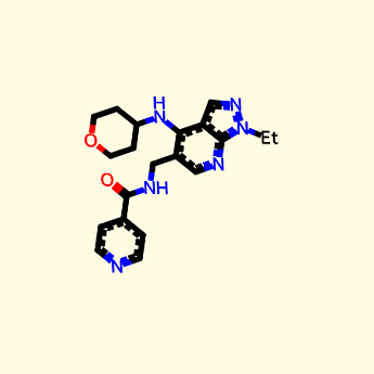 CCn1ncc2c(NC3CCOCC3)c(CNC(=O)c3ccncc3)cnc21